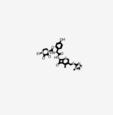 CCN1CCN(C(=O)N[C@@H](C(=O)N[C@@H]2C(=O)C3C(C)=C(CSc4nnnn4C)CSC32)c2ccc(O)cc2)C(=O)C1=O